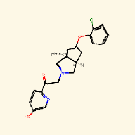 O=C(CN1C[C@H]2CC(Oc3ccccc3Cl)C[C@H]2C1)c1ccc(O)cn1